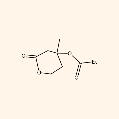 CCC(=O)OC1(C)CCOC(=O)C1